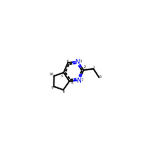 CCc1ncc2c(n1)CCC2